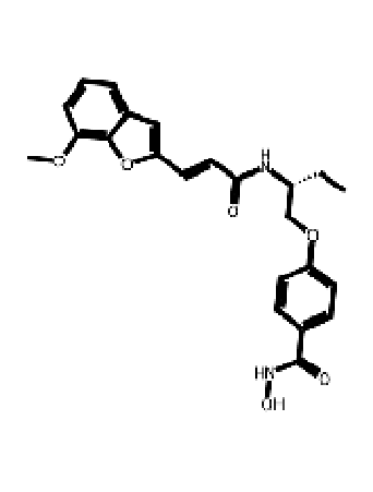 CC[C@H](COc1ccc(C(=O)NO)cc1)NC(=O)/C=C/c1cc2cccc(OC)c2o1